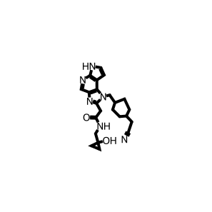 N#CCC1CCC(Cn2c(CC(=O)NCC3(O)CC3)nc3cnc4[nH]ccc4c32)CC1